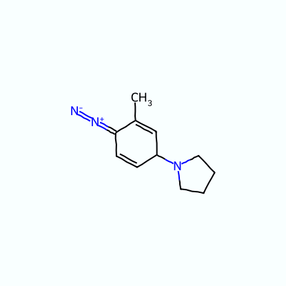 CC1=CC(N2CCCC2)C=CC1=[N+]=[N-]